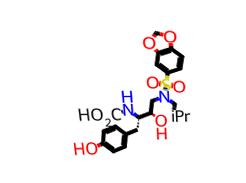 CC(C)CN(C[C@@H](O)[C@H](Cc1ccc(O)cc1)NC(=O)O)S(=O)(=O)c1ccc2c(c1)OCO2